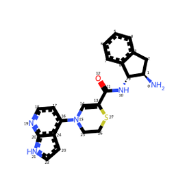 N[C@@H]1Cc2ccccc2[C@H]1NC(=O)C1=CN(c2ccnc3[nH]ccc23)CCS1